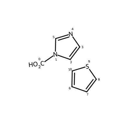 O=C(O)n1ccnc1.c1ccsc1